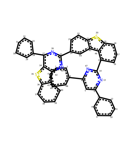 c1ccc(-c2cc(-c3ccccc3)nc(-c3cccc4sc5ccc(-c6nc(-c7ccccc7)c7sc8ccccc8c7n6)cc5c34)n2)cc1